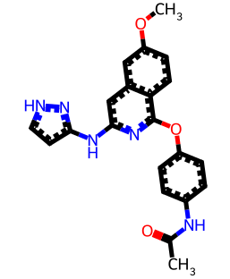 COc1ccc2c(Oc3ccc(NC(C)=O)cc3)nc(Nc3cc[nH]n3)cc2c1